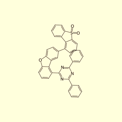 O=S1(=O)c2ccccc2-c2c(-c3ccc4oc5cccc(-c6nc(-c7ccccc7)nc(-c7ccccc7)n6)c5c4c3)cccc21